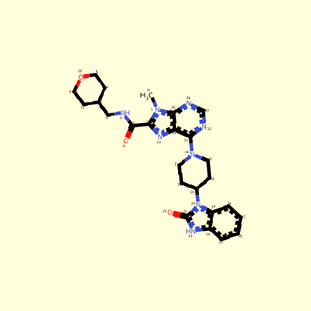 Cn1c(C(=O)NCC2CCOCC2)nc2c(N3CCC(n4c(=O)[nH]c5ccccc54)CC3)ncnc21